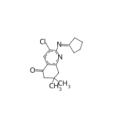 CC1(C)CC(=O)c2cc(Cl)c(N=C3CCCC3)nc2C1